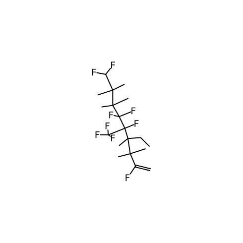 C=C(F)C(C)(C)C(C)(CC)C(F)(C(F)(F)F)C(F)(F)C(C)(C)C(C)(C)C(F)F